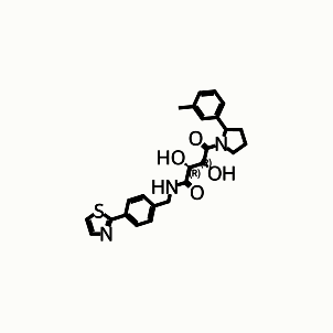 Cc1cccc(C2CCCN2C(=O)[C@H](O)[C@@H](O)C(=O)NCc2ccc(-c3nccs3)cc2)c1